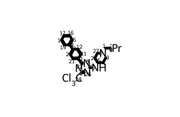 CC(C)CN1CCC(Nc2nc(-c3ccc(-c4ccccc4)cc3)nc(C(Cl)(Cl)Cl)n2)CC1